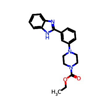 CCOC(=O)N1CCN(c2cccc(-c3nc4ccccc4[nH]3)c2)CC1